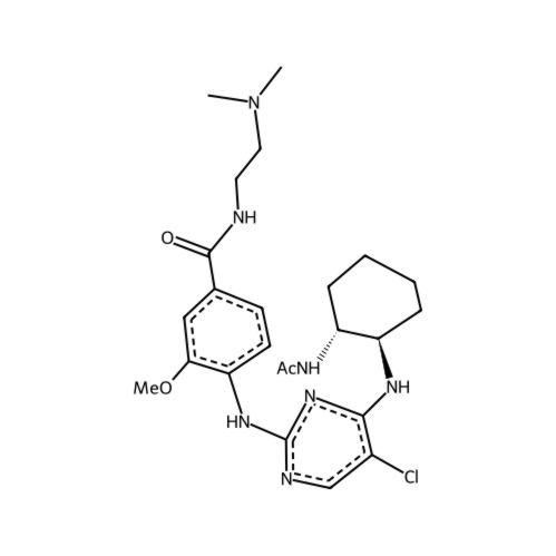 COc1cc(C(=O)NCCN(C)C)ccc1Nc1ncc(Cl)c(N[C@@H]2CCCC[C@H]2NC(C)=O)n1